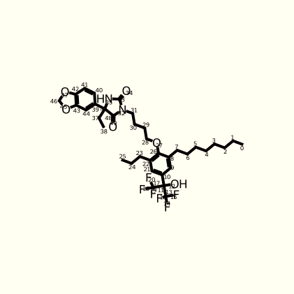 CCCCCCCCc1cc(C(O)(C(F)(F)F)C(F)(F)F)cc(CCC)c1OCCCCN1C(=O)NC(CC)(c2ccc3c(c2)OCO3)C1=O